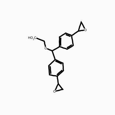 O=C(O)COC(c1ccc(C2CO2)cc1)c1ccc(C2CO2)cc1